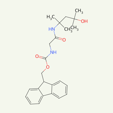 CC(C)(O)CC(C)(C)NC(=O)CNC(=O)OCC1c2ccccc2-c2ccccc21